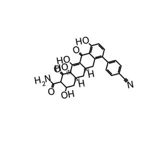 N#Cc1ccc(-c2ccc(O)c3c2C[C@H]2C[C@H]4CC(O)C(C(N)=O)C(=O)[C@@]4(O)C(O)=C2C3=O)cc1